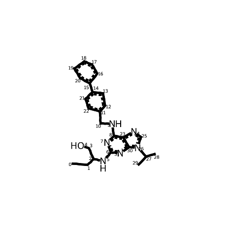 CCC(CO)Nc1nc(NCc2ccc(-c3ccccc3)cc2)c2ncn(C(C)C)c2n1